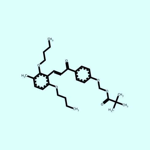 CCCCOc1ccc(C)c(OCCCC)c1C=CC(=O)c1ccc(OCOC(=O)C(C)(C)C)cc1